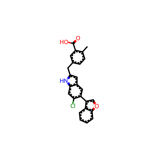 Cc1ccc(Cc2cc3cc(-c4coc5ccccc45)c(Cl)cc3[nH]2)cc1C(=O)O